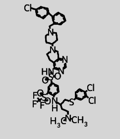 CN(C)CCC(CSc1ccc(Cl)c(Cl)c1)Nc1ccc(S(=O)(=O)Nc2ncnc3c2CCN(C2CCN(Cc4ccccc4-c4ccc(Cl)cc4)CC2)C3)cc1S(=O)(=O)C(F)(F)F